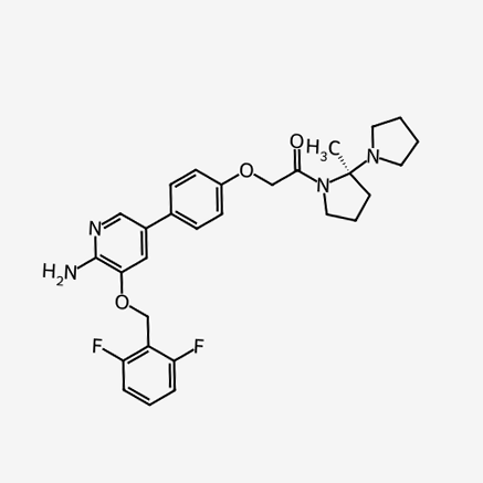 C[C@]1(N2CCCC2)CCCN1C(=O)COc1ccc(-c2cnc(N)c(OCc3c(F)cccc3F)c2)cc1